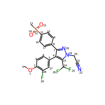 COc1ccc(-c2c(-c3ccc(S(C)(=O)=O)cc3)nn(CC#N)c2C(F)F)cc1F